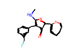 CNC1=C(c2cccc(F)c2)C(=O)C(C2=CCC=CO2)O1